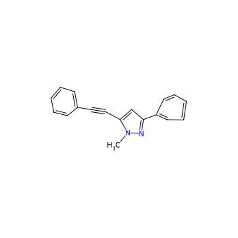 Cn1nc(-c2ccccc2)cc1C#Cc1ccccc1